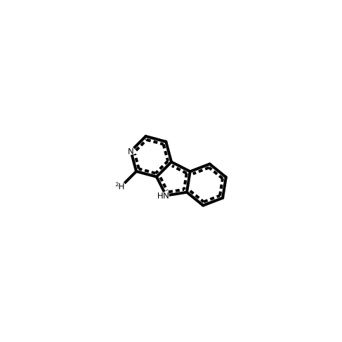 [2H]c1nccc2c1[nH]c1ccccc12